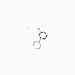 CC(C)c1cccc(C2CCSCC2)c1